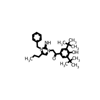 CCCc1cn(CC(=O)c2cc(C(C)(C)C)c(O)c(C(C)(C)C)c2)c(=N)n1Cc1ccccc1